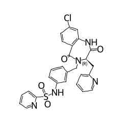 O=C1Nc2cc(Cl)ccc2C(=O)N(Cc2cccc(NS(=O)(=O)c3ccccn3)c2)[C@@H]1Cc1ccccn1